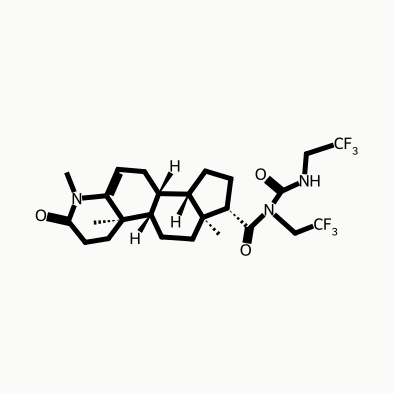 CN1C(=O)CC[C@@]2(C)C1=CC[C@@H]1[C@@H]3CC[C@H](C(=O)N(CC(F)(F)F)C(=O)NCC(F)(F)F)[C@@]3(C)CC[C@@H]12